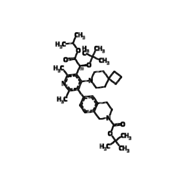 Cc1nc(C)c([C@H](OC(C)(C)C)C(=O)OC(C)C)c(N2CCC3(CCC3)CC2)c1-c1ccc2c(c1)CCN(C(=O)OC(C)(C)C)C2